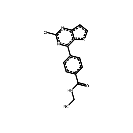 N#CCNC(=O)c1ccc(-c2nc(Cl)nc3ccsc23)cc1